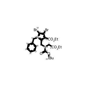 CCOC(=O)CN(Cc1c(C(=O)OCC)c(Br)c(Br)n1Cc1ccccc1)C(=O)OC(C)(C)C